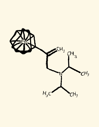 C=C(CN(C(C)C)C(C)C)[C]12[CH]3[CH]4[CH]5[CH]1[Fe]45321678[CH]2[CH]1[CH]6[CH]7[CH]28